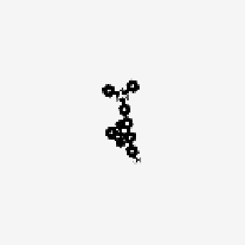 N#Cc1ccc(-c2ccc3c(c2)C2(c4ccccc4-c4ccccc42)c2cccc4c(-c5ccc(-c6nc(-c7ccccc7)nc(-c7ccccc7)n6)cc5)ccc-3c24)cc1